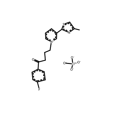 Cc1csc(-c2ccc[n+](CCCC(=O)c3ccc(F)cc3)c2)n1.[O-][Cl+3]([O-])([O-])[O-]